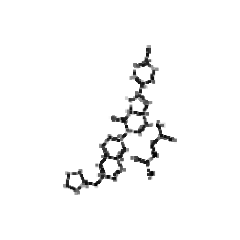 O=C(O)C=CC(=O)O.O=c1c2sc(-c3ccc(Cl)cc3)cc2ncn1-c1ccc2cc(CN3CCCC3)ccc2c1